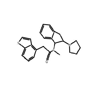 CN(C(=O)Cc1cccc2sccc12)C1c2ccccc2CC1N1CCCC1